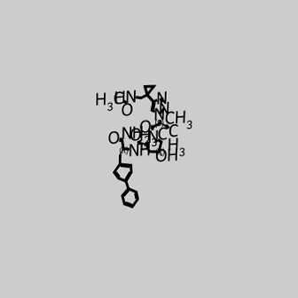 CC(=O)NCC1(c2cn([C@H](C(=O)N3C[C@H](O)C[C@H]3C(=O)N[C@H](Cc3ccc(-c4ccccc4)cc3)C(N)=O)C(C)(C)C)nn2)CC1